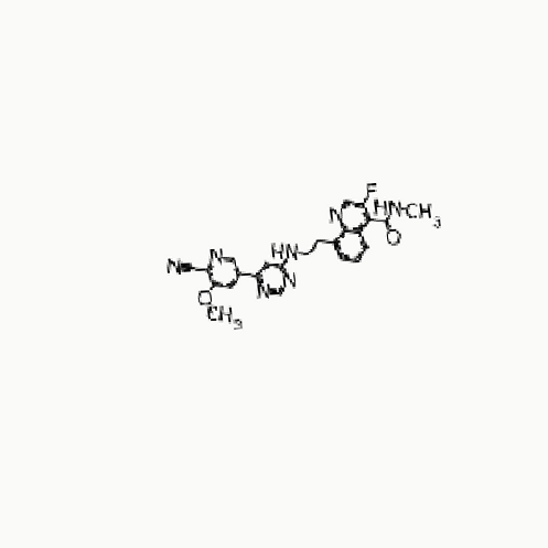 CNC(=O)c1c(F)cnc2c(CCNc3cc(-c4cnc(C#N)c(OC)c4)ncn3)cccc12